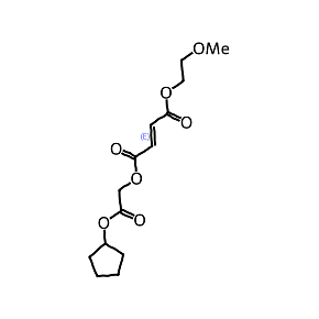 COCCOC(=O)/C=C/C(=O)OCC(=O)OC1CCCC1